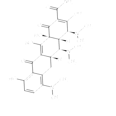 CN(C)c1ccc(O)c2c1C[C@@H]1C(=C(O)[C@]3(O)C(=O)C(C(N)=O)=C(O)[C@@H](N(C)C)[C@@H]3[C@H]1N(C)C)C2=O